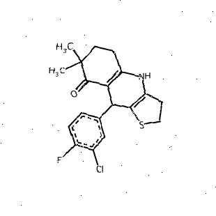 CC1(C)CCC2=C(C1=O)C(c1ccc(F)c(Cl)c1)C1=C(CCS1)N2